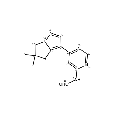 CC1(C)Cc2c(-c3cc(NC=O)ncn3)cnn2C1